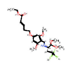 CCOC(=O)CCCCOc1cc(OC)c(CN[C@@H](CC(F)(F)F)C(OC)OC)c(OC)c1